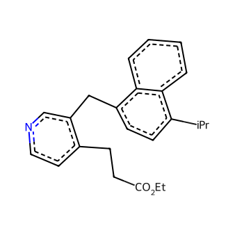 CCOC(=O)CCc1ccncc1Cc1ccc(C(C)C)c2ccccc12